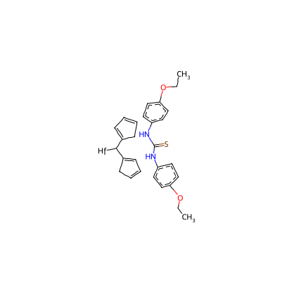 CCOc1ccc(NC(=S)Nc2ccc(OCC)cc2)cc1.[Hf][CH](C1=CC=CC1)C1=CC=CC1